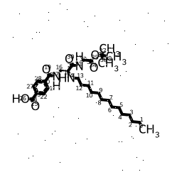 CCCCCCCCCCCCCCN[C@@H](CNC(=O)c1ccc(C(=O)O)cc1)C(=O)NCC(=O)OC(C)(C)C